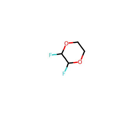 FC1OCCOC1F